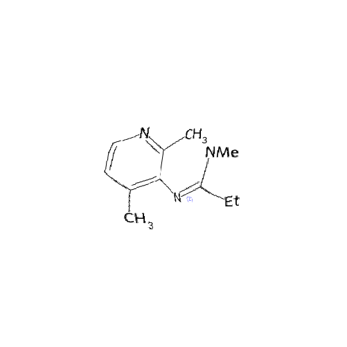 CC/C(=N/c1c(C)ccnc1C)NC